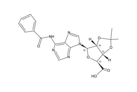 CC1(C)O[C@@H]2[C@H](O1)[C@@H](C(=O)O)O[C@H]2n1cnc2c(NC(=O)c3ccccc3)ncnc21